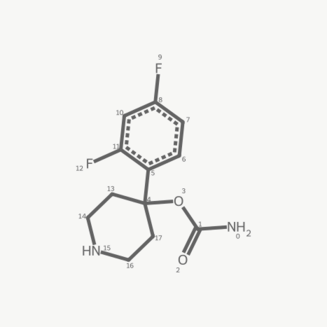 NC(=O)OC1(c2ccc(F)cc2F)CCNCC1